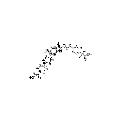 CC(C)(C(=O)O)C1CCC(CCOc2nc3nc(-c4ccc(C5=CCN(C(=O)CO)CC5)cc4)c(Cl)cc3[nH]2)CC1